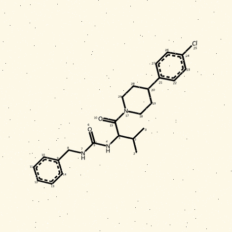 CC(C)C(NC(=O)NCc1ccccc1)C(=O)N1CCC(c2ccc(Cl)cc2)CC1